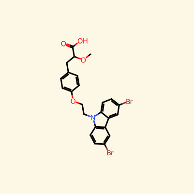 COC(Cc1ccc(OCCn2c3ccc(Br)cc3c3cc(Br)ccc32)cc1)C(=O)O